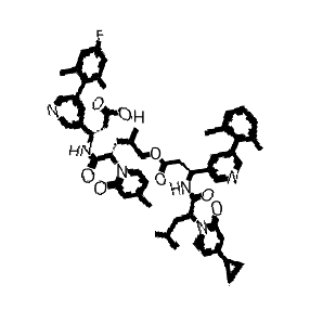 Cc1ccn([C@@H](CC(C)COC(=O)C[C@H](NC(=O)C(CC(C)C)n2ccc(C3CC3)cc2=O)c2cncc(-c3c(C)cccc3C)c2)C(=O)N[C@@H](CC(=O)O)c2cncc(-c3c(C)cc(F)cc3C)c2)c(=O)c1